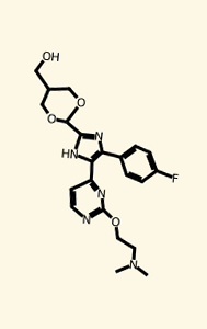 CN(C)CCOc1nccc(-c2[nH]c(C3OCC(CO)CO3)nc2-c2ccc(F)cc2)n1